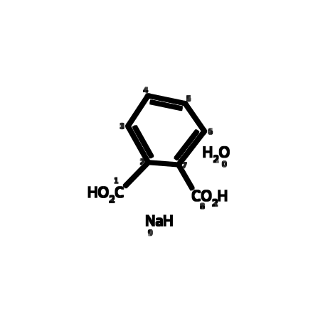 O.O=C(O)c1ccccc1C(=O)O.[NaH]